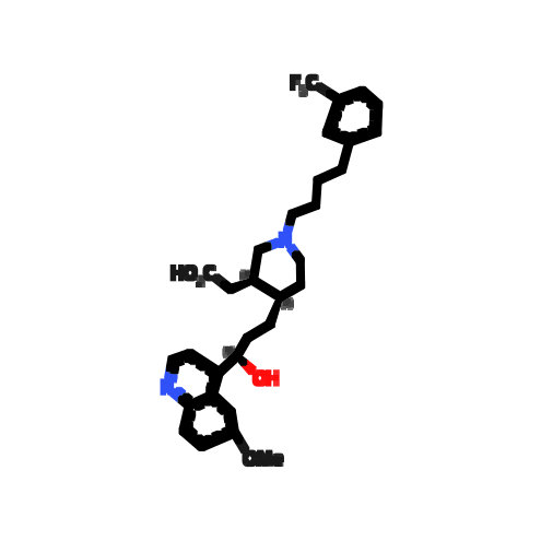 COc1ccc2nccc([C@H](O)CC[C@@H]3CCN(CCCCc4cccc(C(F)(F)F)c4)C[C@@H]3CC(=O)O)c2c1